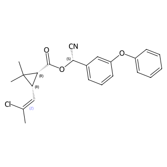 C/C(Cl)=C/[C@H]1[C@@H](C(=O)O[C@H](C#N)c2cccc(Oc3ccccc3)c2)C1(C)C